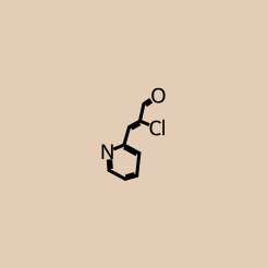 O=CC(Cl)=Cc1ccccn1